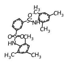 Cc1cc(C)c(N[S+]([O-])c2cccc(S(=O)(=O)Nc3c(C)cc(C)cc3C)c2)c(C)c1